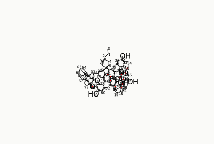 CCCC1CCC(c2cc(C)c(OC(OC3C4CC5CC(C4)CC3C5)C(=O)OC)c(C(c3cc(C)c(O)cc3C)c3cc(C)c(O)cc3C)c2)(c2cc(C)c(OC(OC3C4CC5CC(C4)CC3C5)C(=O)OC)c(C(c3cc(C)c(O)cc3C)c3cc(C)c(O)cc3C)c2)CC1